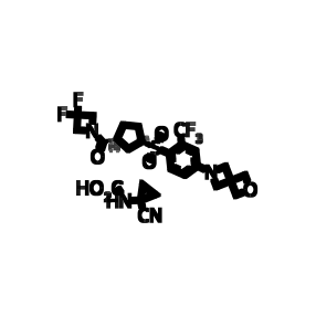 N#CC1(NC(=O)O)CC1.O=C([C@@H]1CC[C@@H](S(=O)(=O)c2ccc(N3CC4(COC4)C3)cc2C(F)(F)F)C1)N1CC(F)(F)C1